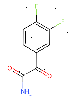 NC(=O)C(=O)c1ccc(F)c(F)c1